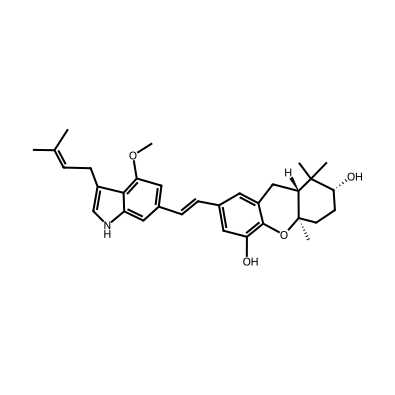 COc1cc(/C=C/c2cc(O)c3c(c2)C[C@@H]2C(C)(C)[C@H](O)CC[C@@]2(C)O3)cc2[nH]cc(CC=C(C)C)c12